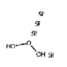 OOO.[Si].[Si].[Si].[Si]